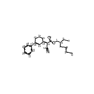 CCCCC(CC)COC(=O)C(C#N)=C1C=C(c2ccccc2)CCC1